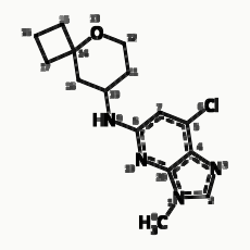 Cn1cnc2c(Cl)cc(NC3CCOC4(CCC4)C3)nc21